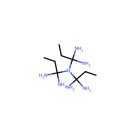 CCC(N)(N)N(C(N)(N)CC)C(N)(N)CC